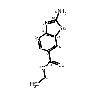 CCOC(=O)c1cnc2nc(N)sc2c1